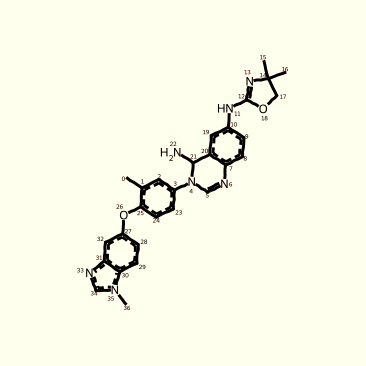 Cc1cc(N2C=Nc3ccc(NC4=NC(C)(C)CO4)cc3C2N)ccc1Oc1ccc2c(c1)ncn2C